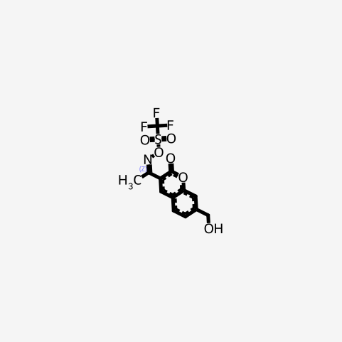 C/C(=N/OS(=O)(=O)C(F)(F)F)c1cc2ccc(CO)cc2oc1=O